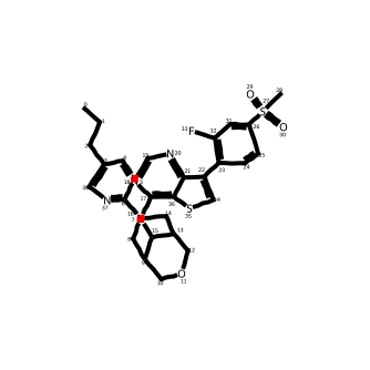 CCCc1cnc(N2CC3COCC(C2)C3Oc2ncnc3c(-c4ccc(S(C)(=O)=O)cc4F)csc23)nc1